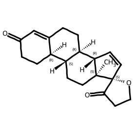 C[C@]12CC[C@H]3[C@@H](CCC4=CC(=O)CC[C@@H]43)[C@@H]1C=C[C@]21OCCC1=O